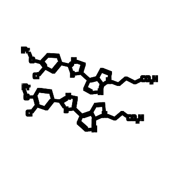 CC(C)Oc1ccc(-c2ncc(-c3ccnc4c3ccn4CCC(=O)O)s2)cc1Cl.CC(C)Oc1ccc(-c2ncc(-c3ccnc4c3ccn4CCCC(=O)O)s2)cc1Cl